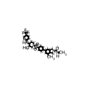 CNC(=O)N1Cc2cc(-c3ccc(S(=O)(=O)N4CC[C@@H](Nc5ccc(C(F)(F)F)cn5)[C@@H](O)C4)cc3)cc(C)c2C1